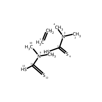 C=C.CN(C)C(=S)S.CN(C)C(=S)S